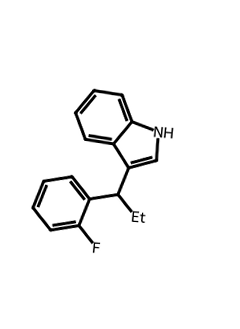 [CH2]CC(c1ccccc1F)c1c[nH]c2ccccc12